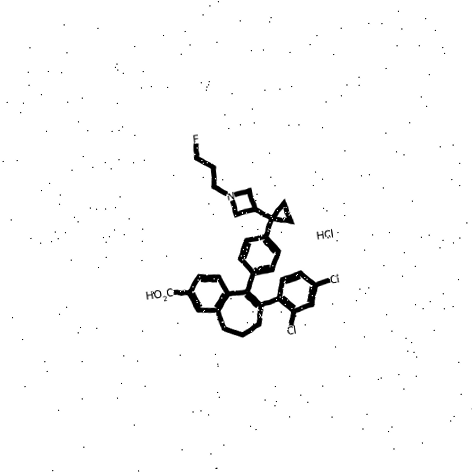 Cl.O=C(O)c1ccc2c(c1)CCCC(c1ccc(Cl)cc1Cl)=C2c1ccc(C2(C3CN(CCCF)C3)CC2)cc1